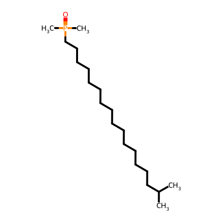 CC(C)CCCCCCCCCCCCCCCP(C)(C)=O